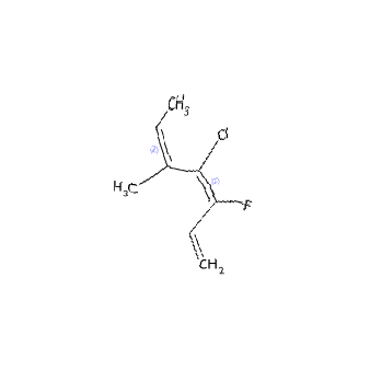 C=C/C(F)=C(Cl)\C(C)=C/C